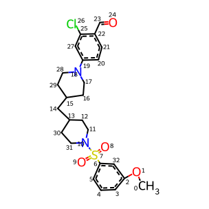 COc1cccc(S(=O)(=O)N2CCC(CC3CCN(c4ccc(C=O)c(Cl)c4)CC3)CC2)c1